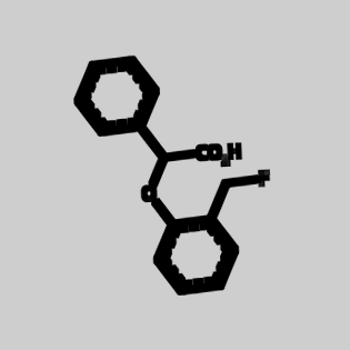 O=C(O)C(Oc1ccccc1CF)c1ccccc1